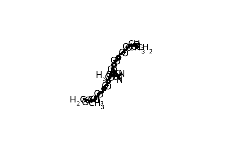 C=CC(=O)OCC(C)(C)COC(=O)CCC(=O)OCCc1ccc(OC(=O)C2CCC(C(=O)Oc3cc(C)c(OC(=O)C4CCC(C(=O)Oc5ccc(CCOC(=O)CCC(=O)OCC(C)(C)COC(=O)C=C)cc5)CC4)c4c3SC(C(C#N)C#N)S4)CC2)cc1